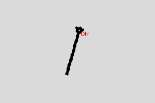 C#CC#CC#CC#CC#CC#CC#CC#CC#Cc1cc(C)cc(C)c1O